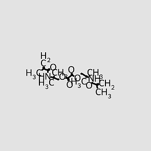 C=C(C)C(=O)NC(C)(C)COC(=O)C(=O)OCC(C)(C)NC(=O)C(=C)C